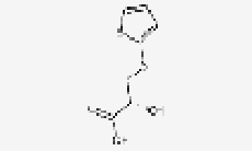 O=C(O)[C@@H](O)CSc1cccs1